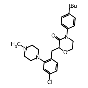 CN1CCN(c2cc(Cl)ccc2CC2OCCN(c3ccc(C(C)(C)C)cc3)C2=O)CC1